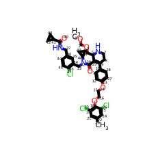 COCOCC1NCCC(c2ccc(OCCOc3c(Cl)cc(C)cc3Cl)cc2)=C1C(=O)N(Cc1cc(CNC(=O)C2CC2)ccc1Cl)C1CC1